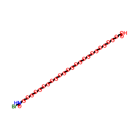 O=C(O)CCOCCOCCOCCOCCOCCOCCOCCOCCOCCOCCOCCOCCOCCOCCOCCOCCOCCOCCOCCOCCOCCOCCOCCOCCNC(=O)CBr